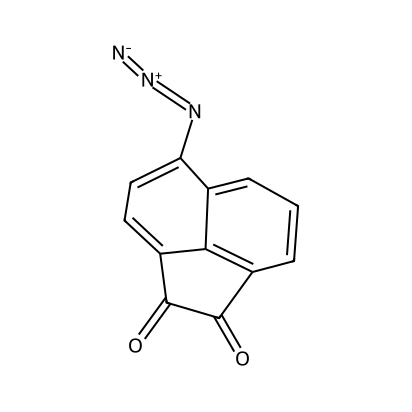 [N-]=[N+]=Nc1ccc2c3c(cccc13)C(=O)C2=O